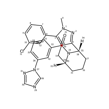 Cn1nc2c(c1-c1cccc(Cl)c1)C[C@H]1CCC[C@@H]2N1C(=O)c1cccc(-n2cncn2)c1